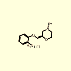 CC(C)N1CCOC(=COc2ccccc2N)C1.Cl